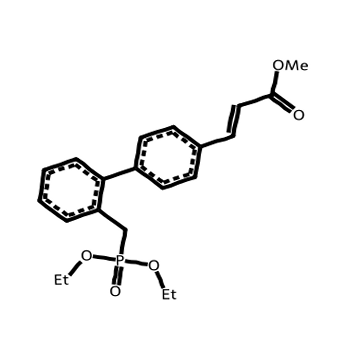 CCOP(=O)(Cc1ccccc1-c1ccc(/C=C/C(=O)OC)cc1)OCC